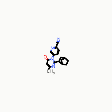 Cc1cc(=O)n(-c2ccc(C#N)nc2)c(C2CC3CCC2C3)n1